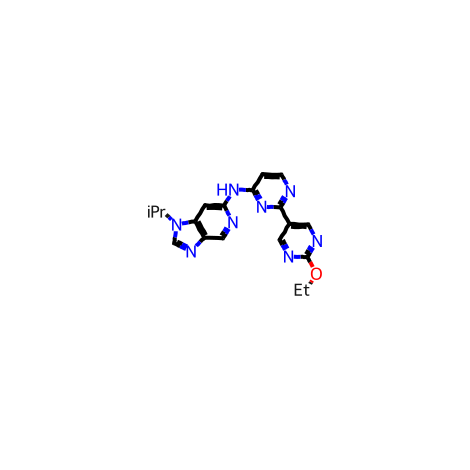 CCOc1ncc(-c2nccc(Nc3cc4c(cn3)ncn4C(C)C)n2)cn1